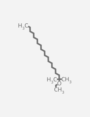 CCCCCCCCCCCCCCCCCCC(C)(C)OCC